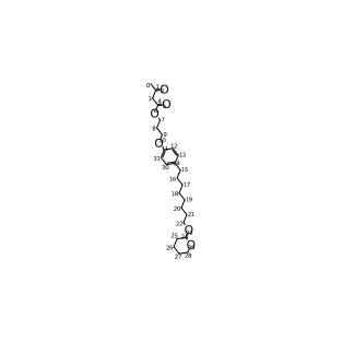 CC(=O)CC(=O)OCCCOc1ccc(CCCCCCCCOC2CCCCO2)cc1